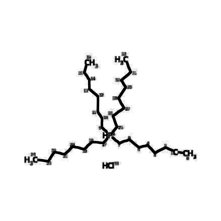 CCCCCCCC[PH](CCCCCCCC)(CCCCCCCC)CCCCCCCC.Cl